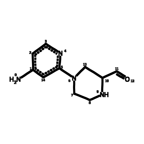 Nc1ccnc(N2CCNC(C=O)C2)c1